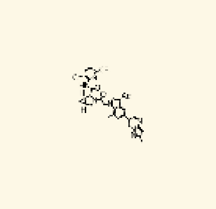 CC(=O)c1cn(CC(=O)N2C[C@H]3C[C@H]3[C@H]2C(=O)Nc2nc(C(F)(F)F)ccc2Cl)c2c(C)cc(-c3cnc4cc(C)nn4c3)cc12